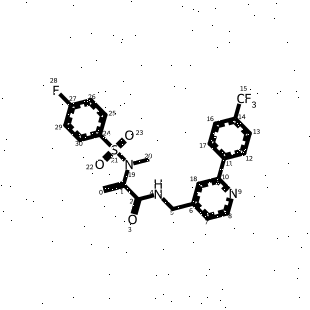 C=C(C(=O)NCc1ccnc(-c2ccc(C(F)(F)F)cc2)c1)N(C)S(=O)(=O)c1ccc(F)cc1